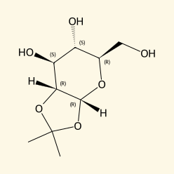 CC1(C)O[C@H]2O[C@H](CO)[C@@H](O)[C@H](O)[C@H]2O1